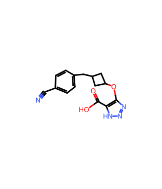 N#Cc1ccc(CC2CC(Oc3nn[nH]c3C(=O)O)C2)cc1